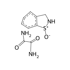 NC(=O)C(N)=O.[O-][S+]1NCc2ccccc21